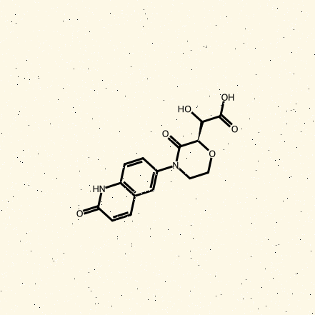 O=C(O)C(O)[C@H]1OCCN(c2ccc3[nH]c(=O)ccc3c2)C1=O